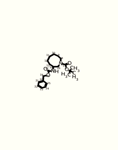 CC(C)(C)OC(=O)N1CCCCCCC(NC(=O)OCc2ccccc2)C1